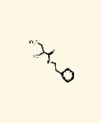 O=C(O)CC(O)C(=O)NCCc1ccccc1